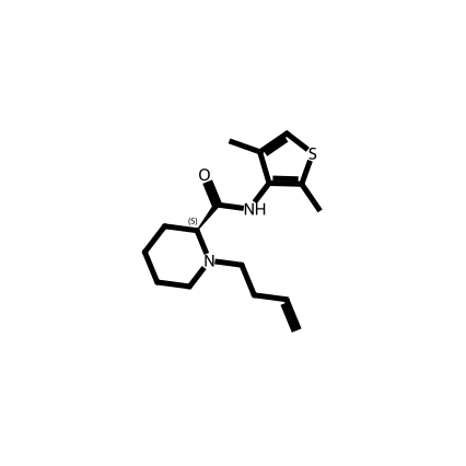 C=CCCN1CCCC[C@H]1C(=O)Nc1c(C)csc1C